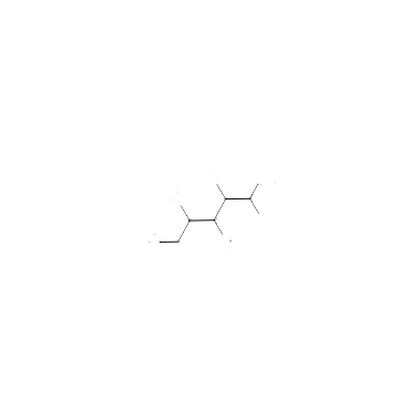 C[C](O)C(O)C(O)C(O)CO